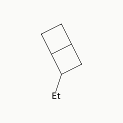 CCC1CC2CCC12